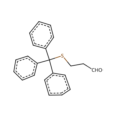 O=[C]CCSC(c1ccccc1)(c1ccccc1)c1ccccc1